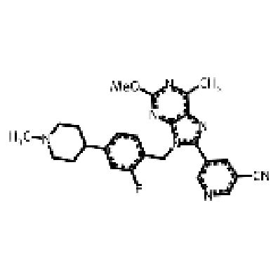 COc1nc(C)c2nc(-c3cncc(C#N)c3)n(Cc3ccc(C4CCN(C)CC4)cc3F)c2n1